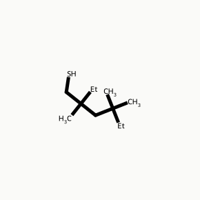 CCC(C)(C)CC(C)(CC)CS